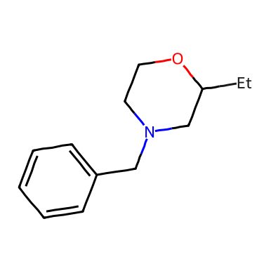 CCC1CN(Cc2ccccc2)CCO1